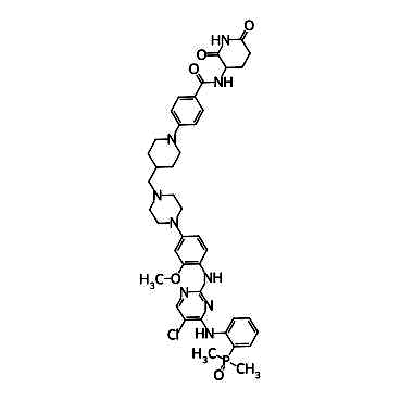 COc1cc(N2CCN(CC3CCN(c4ccc(C(=O)NC5CCC(=O)NC5=O)cc4)CC3)CC2)ccc1Nc1ncc(Cl)c(Nc2ccccc2P(C)(C)=O)n1